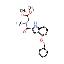 COC(CN(C)C(=O)c1cc2c(OCc3ccccc3)cccc2[nH]1)OC